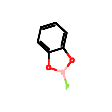 FB1Oc2ccccc2O1